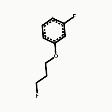 FCCCOc1cc[c]c(F)c1